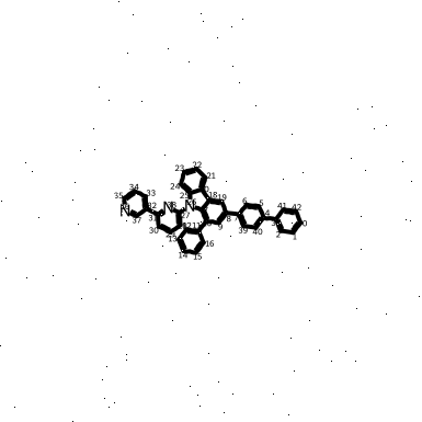 c1ccc(-c2ccc(-c3cc(-c4ccccc4)c4c(c3)c3ccccc3n4-c3cccc(-c4cccnc4)n3)cc2)cc1